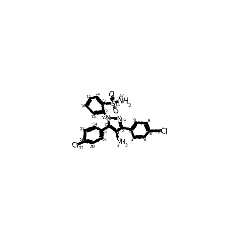 Nc1c(-c2ccc(Cl)cc2)nn(-c2ccccc2S(N)(=O)=O)c1-c1ccc(Cl)cc1